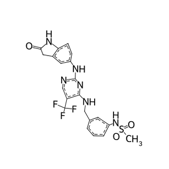 CS(=O)(=O)Nc1cccc(CNc2nc(Nc3ccc4c(c3)CC(=O)N4)ncc2C(F)(F)F)c1